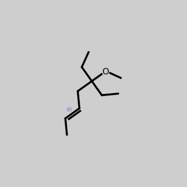 C/C=C/CC(CC)(CC)OC